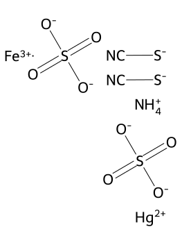 N#C[S-].N#C[S-].O=S(=O)([O-])[O-].O=S(=O)([O-])[O-].[Fe+3].[Hg+2].[NH4+]